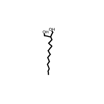 CCCCCCCCCCCC(CO)CO